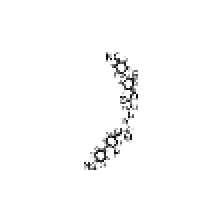 N#Cc1ccc(-c2ccc(OC(=O)CCCCCC(=O)Oc3ccc(-c4ccc(C#N)cc4)c(F)c3)cc2F)cc1